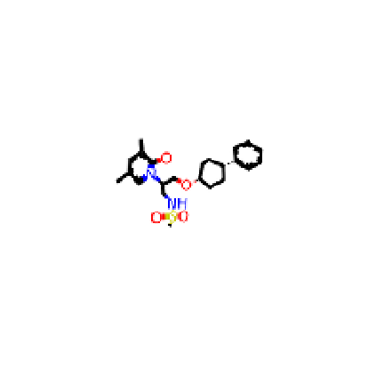 Cc1cc(C)c(=O)n(C(CNS(C)(=O)=O)CO[C@H]2CC[C@@H](c3ccccc3)CC2)c1